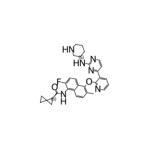 Cc1ccc2c(NC(=O)[C@H]3CC34CC4)c(F)ccc2c1Oc1ncccc1-c1ccnc(N[C@H]2CCCNC2)n1